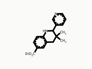 CCOC(=O)c1ccc2c(c1)CC(C)(C)C(c1cccnc1)N2